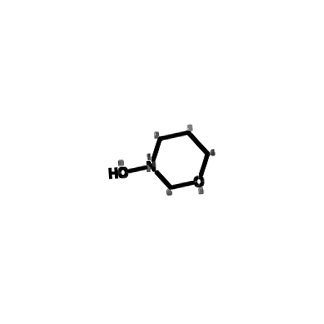 ON1CCCOC1